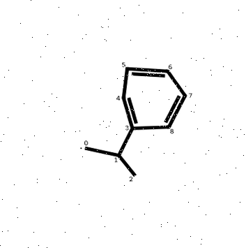 [CH2]C(C)c1ccccc1